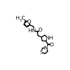 Cc1ccc(CNC(=O)CC2CNC(C(=O)N3CCSC3)C2)o1